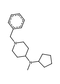 CN(C1CCCC1)C1CCN(Cc2ccccc2)CC1